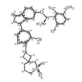 Cc1ncc(Cl)c([C@@H](N)Oc2ccc3[nH]nc(-c4cnc(N5CC6(CCCS(=O)(=O)C6)C5)c(C#N)c4)c3c2)c1Cl